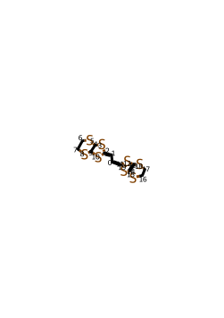 C(C=C1SC2SCCSC2S1)=C1SC2=C(SCCS2)S1